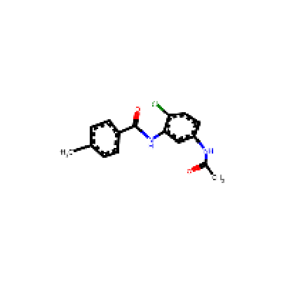 [CH2]c1ccc(C(=O)Nc2cc(NC(C)=O)ccc2Cl)cc1